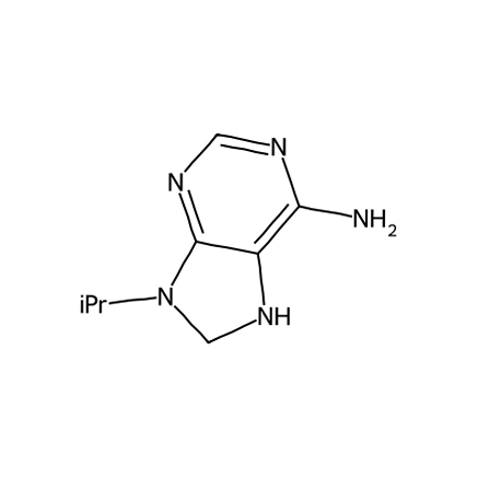 CC(C)N1CNc2c(N)ncnc21